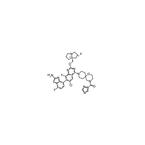 Nc1nc2c(-c3c(Cl)cc4c(N5CCC6(CC5)CN(C(=O)n5cncn5)CCO6)nc(OC[C@@]56CCCN5C[C@H](F)C6)nc4c3F)ccc(F)c2s1